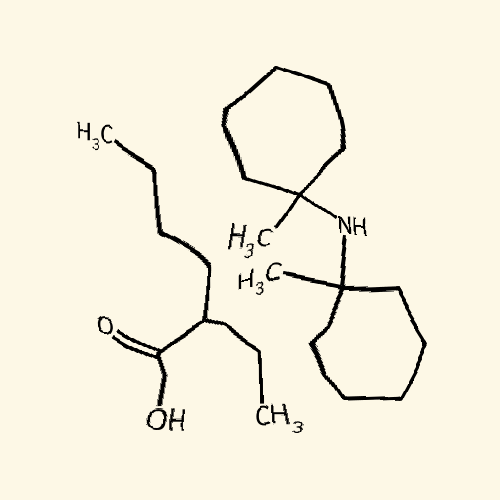 CC1(NC2(C)CCCCC2)CCCCC1.CCCCC(CC)C(=O)O